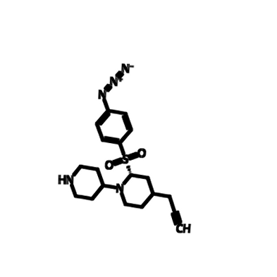 C#CCC1CCN(C2CCNCC2)[C@H](S(=O)(=O)c2ccc(N=[N+]=[N-])cc2)C1